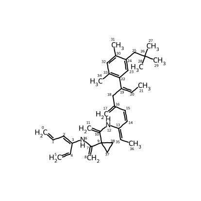 C=C/C=C(\C=C)NC(=C)C1(C(=C)NC(/C=C\C(=C)C/C(=C/C)c2cc(CC(C)(C)C)c(C)cc2C)=C/C)CC1